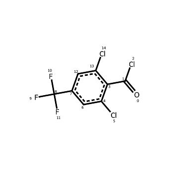 O=C(Cl)c1c(Cl)cc(C(F)(F)F)cc1Cl